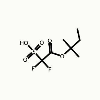 CCC(C)(C)OC(=O)C(F)(F)S(=O)(=O)O